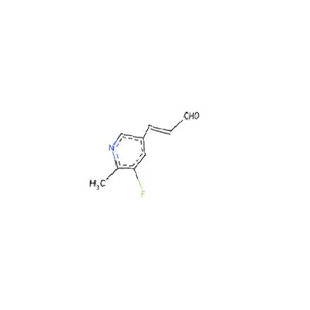 Cc1ncc(C=CC=O)cc1F